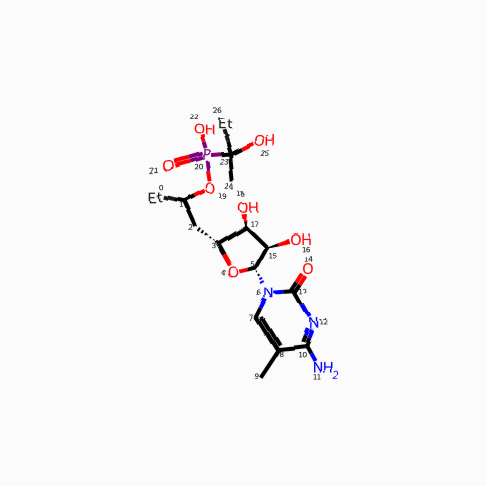 CCC(C[C@H]1O[C@@H](n2cc(C)c(N)nc2=O)[C@H](O)[C@@H]1O)OP(=O)(O)C(C)(O)CC